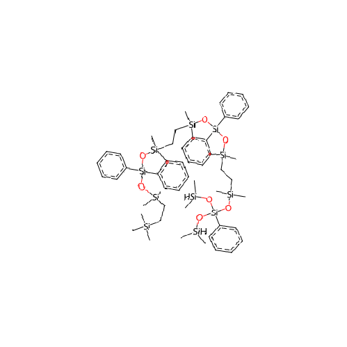 C[SiH](C)O[Si](O[SiH](C)C)(O[Si](C)(C)CC[Si](C)(C)O[Si](O[Si](C)(C)CC[Si](C)(C)O[Si](O[Si](C)(C)CC[Si](C)(C)C)(c1ccccc1)c1ccccc1)(c1ccccc1)c1ccccc1)c1ccccc1